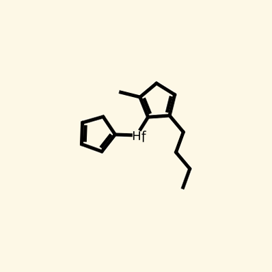 CCCCC1=CCC(C)=[C]1[Hf][C]1=CC=CC1